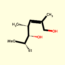 CC[C@H](OC)[C@@H](O)[C@H](C)/C=C(/C)CO